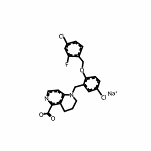 O=C([O-])c1nccc2c1CCCN2Cc1cc(Cl)ccc1OCc1ccc(Cl)cc1F.[Na+]